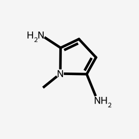 Cn1c(N)ccc1N